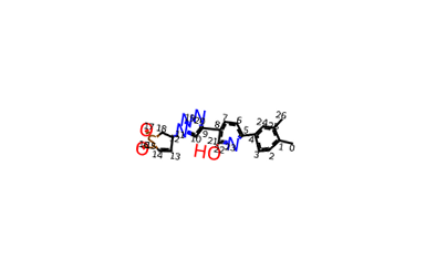 Cc1ccc(-c2ccc(-c3cn(C4C=CS(=O)(=O)C4)nn3)c(O)n2)cc1C